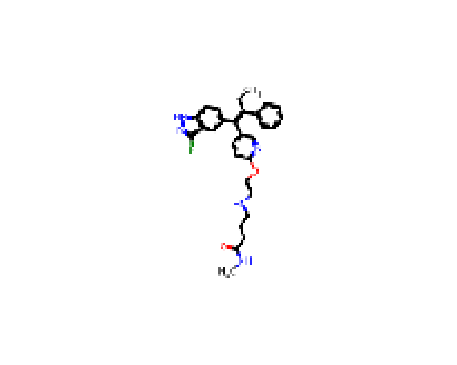 CC/C(=C(/c1ccc(OCCNCCCC(=O)NC)nc1)c1ccc2[nH]nc(F)c2c1)c1ccccc1